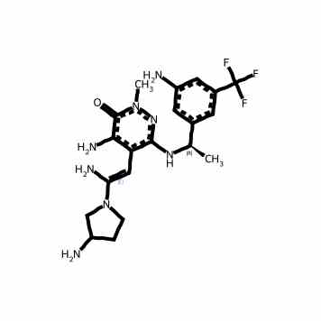 C[C@@H](Nc1nn(C)c(=O)c(N)c1/C=C(\N)N1CCC(N)C1)c1cc(N)cc(C(F)(F)F)c1